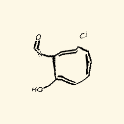 O=Nc1ccccc1O.[C]